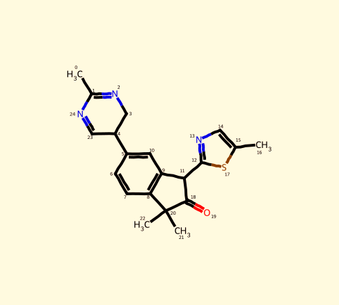 CC1=NCC(c2ccc3c(c2)C(c2ncc(C)s2)C(=O)C3(C)C)C=N1